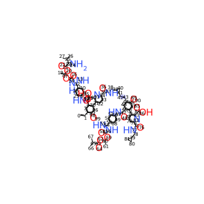 C=Cc1cc(C(=O)Nc2ccc(C(=N)NC(=O)OC(C)OC(=O)[C@@H](N)C(C)C)cc2)c(-c2ccc(C(=O)NCC3CC3/C=C/c3cc(C(=O)Nc4ccc(C(=N)NC(=O)OC(C)OC(=O)C(C)C)cc4)c(-c4ccc(C(=O)NCC5CC5)nc4C(=O)O)cc3OC)nc2C(=O)O)cc1OC